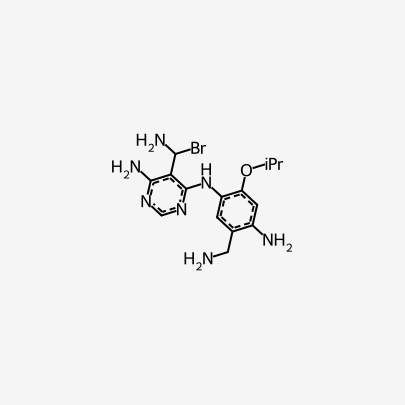 CC(C)Oc1cc(N)c(CN)cc1Nc1ncnc(N)c1C(N)Br